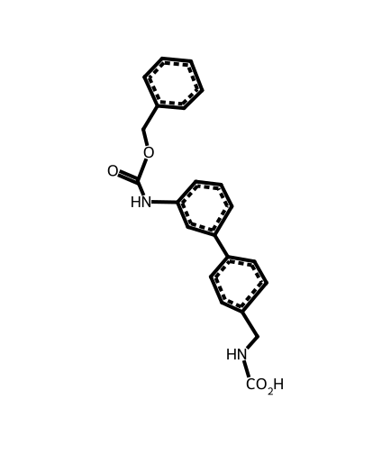 O=C(O)NCc1ccc(-c2cccc(NC(=O)OCc3ccccc3)c2)cc1